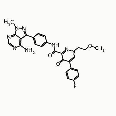 COCCn1cc(-c2ccc(F)cc2)c(=O)c(C(=O)Nc2ccc(-c3nn(C)c4ncnc(N)c34)cc2)n1